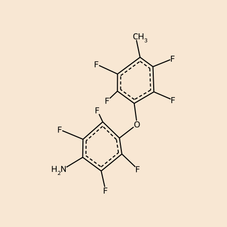 Cc1c(F)c(F)c(Oc2c(F)c(F)c(N)c(F)c2F)c(F)c1F